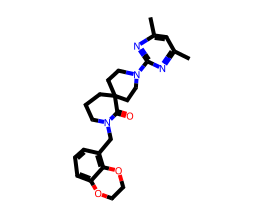 Cc1cc(C)nc(N2CCC3(CCCN(Cc4cccc5c4OCCO5)C3=O)CC2)n1